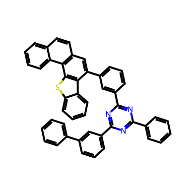 c1ccc(-c2cccc(-c3nc(-c4ccccc4)nc(-c4cccc(-c5cc6ccc7ccccc7c6c6sc7ccccc7c56)c4)n3)c2)cc1